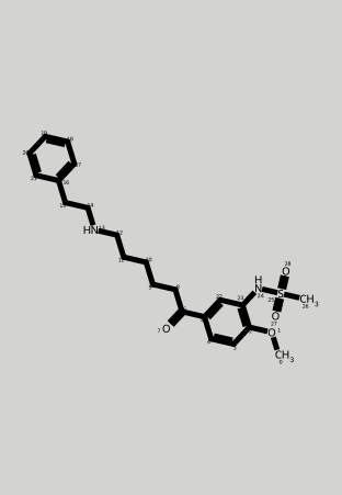 COc1ccc(C(=O)CCCCCNCCc2ccccc2)cc1NS(C)(=O)=O